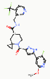 COc1cc(-c2cc(C(=O)N3CC[C@H](C(=O)NCc4cnccc4C(F)(F)F)CC34CC4)n[nH]2)c(F)cn1